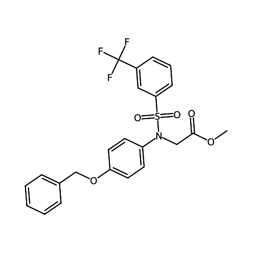 COC(=O)CN(c1ccc(OCc2ccccc2)cc1)S(=O)(=O)c1cccc(C(F)(F)F)c1